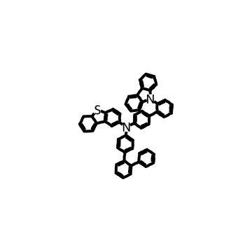 C1=CCC2Sc3ccc(N(c4ccc(-c5ccccc5-c5ccccc5)cc4)c4ccc(-c5ccccc5-n5c6ccccc6c6ccccc65)cc4)cc3C2=C1